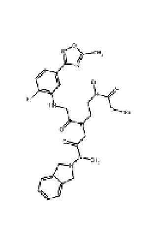 CCc1ccc(-c2noc(C)n2)cc1NCC(=O)N(CCN(CC)C(=O)OC(C)(C)C)CC(=O)N(C)N1Cc2ccccc2C1